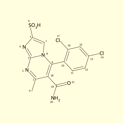 Cc1nc2nc(S(=O)(=O)O)cn2c(-c2ccc(Cl)cc2Cl)c1C(N)=O